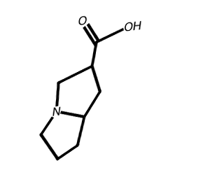 O=C(O)C1CC2CCCN2C1